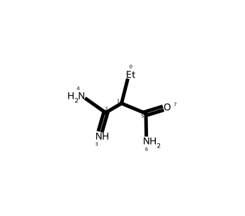 CCC(C(=N)N)C(N)=O